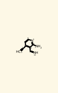 C#Cc1ccnc(N)c1C=N